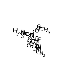 CNC(=O)N1CCc2c(c(N3CCN(C)c4cc(-c5cnn(C)c5)c(C(F)(F)F)cc43)nn2C2CCN(C(C)=O)CC2)C1